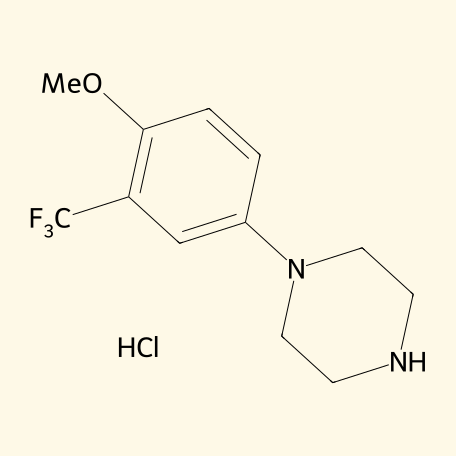 COc1ccc(N2CCNCC2)cc1C(F)(F)F.Cl